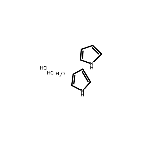 Cl.Cl.O.c1cc[nH]c1.c1cc[nH]c1